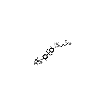 CCC(CC)(c1ccc(CCC(O)(C(F)(F)F)C(F)(F)F)c(C)c1)c1ccc(OC[C@@H](O)CCCC(=O)O)c(C)c1